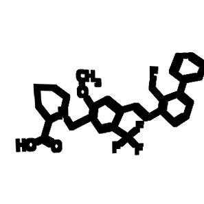 COc1cc(C=Cc2cccc(-c3ccccc3)c2CF)c(C(F)(F)F)cc1CN1CCCCC1C(=O)O